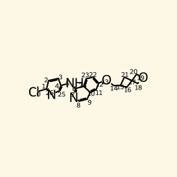 Clc1ccc(Nc2nccc3cc(OCC4CC5(COC5)C4)ccc23)cn1